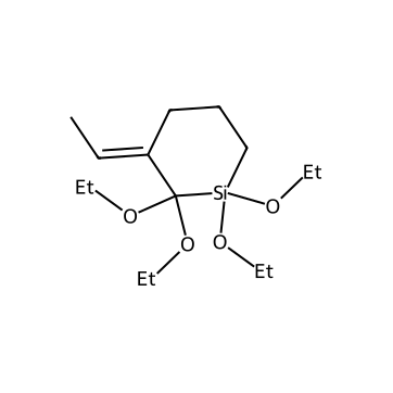 CC=C1CCC[Si](OCC)(OCC)C1(OCC)OCC